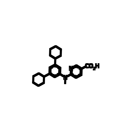 CN(c1cc(C2CCCCC2)cc(C2CCCCC2)c1)c1ccc(C(=O)O)cn1